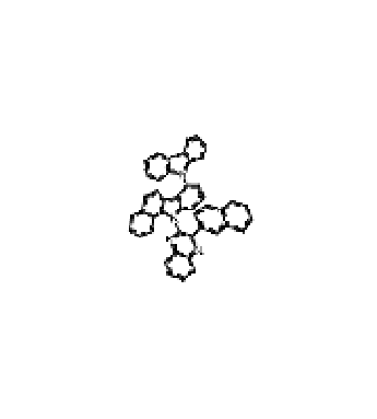 c1ccc2cc(-c3nc4ccccc4nc3-n3c4cccc(-n5c6ccccc6c6ccccc65)c4c4ccc5ccccc5c43)ccc2c1